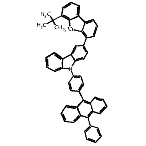 CC(C)(C)c1cccc2c1oc1c(-c3ccc4c(c3)c3ccccc3n4-c3ccc(-c4c5ccccc5c(-c5ccccc5)c5ccccc45)cc3)cccc12